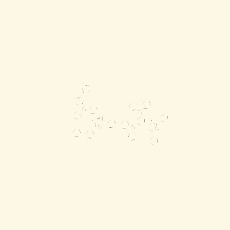 c1ccc(-c2cccc(-c3nc(-c4ccc(-c5ccc6c(c5)c5ccccc5n6-c5cc(-c6cc(-c7ccccc7)nc(-c7ccccc7)n6)cc(-n6c7ccccc7c7ccccc76)c5)cc4)nc(-c4cccc(-n5c6ccccc6c6ccc7c8ccccc8sc7c65)c4)n3)c2)cc1